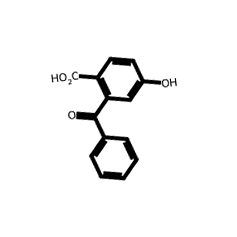 O=C(O)c1ccc(O)cc1C(=O)c1ccccc1